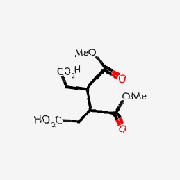 COC(=O)C(CC(=O)O)C(CC(=O)O)C(=O)OC